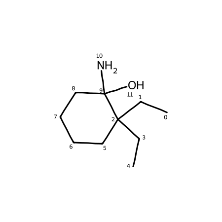 CCC1(CC)CCCCC1(N)O